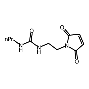 CCCNC(=O)NCCN1C(=O)C=CC1=O